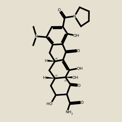 CN(C)c1cc(C(=O)N2CCCC2)c(O)c2c1C[C@H]1C[C@H]3CC(O)C(C(N)=O)C(=O)[C@@]3(O)C(O)=C1C2=O